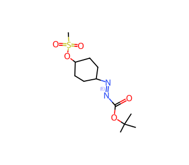 CC(C)(C)OC(=O)/N=N/C1CCC(OS(C)(=O)=O)CC1